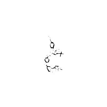 Cn1ccc(-c2cc(Oc3ccc(NC(=O)Nc4cc(C(C)(C)C)nn4-c4ccc(C#N)cc4)c(F)c3)ccn2)n1